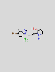 Cc1c(Br)ccc2c1ncn2CC#CC1NCCCC1O.Cl.Cl